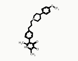 Cc1[nH]c(C)c(-c2ccc(CCCN3CCC(c4ccc(OC(F)(F)F)cc4)CC3)cc2)c(=O)c1Cl